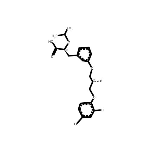 CC(C)O[C@@H](Cc1cccc(OC[C@H](F)COc2ccc(Cl)cc2Cl)c1)C(=O)O